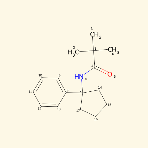 CC(C)(C)C(=O)NC1(c2ccccc2)CCCC1